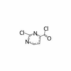 O=C(Cl)c1ccnc(Cl)n1